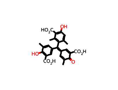 CC1=C/C(=C(\c2cc(C)c(O)c(C(=O)O)c2)c2c(C)cc(O)c(C(=O)O)c2C)C=C(C(=O)O)C1=O